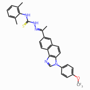 CC(=NNC(=S)Nc1c(C)cccc1C)c1ccc2c(ccc3c2ncn3-c2ccc(OC(F)(F)F)cc2)c1